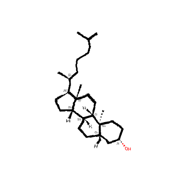 CC(C)CCC[C@H](C)[C@@H]1CC[C@H]2[C@H]3CC[C@H]4C[C@@H](O)CC[C@]4(C)[C@H]3CC[C@]21C